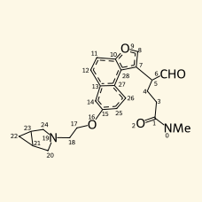 CNC(=O)CCC(C=O)c1coc2ccc3cc(OCCN4CC5CC5C4)ccc3c12